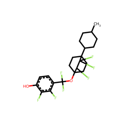 CC1CCC(C23CCC(OC(F)(F)c4ccc(O)c(F)c4F)(CC2)C(F)C3(F)F)CC1